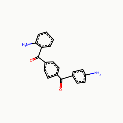 Nc1ccc(C(=O)c2ccc(C(=O)c3ccccc3N)cc2)cc1